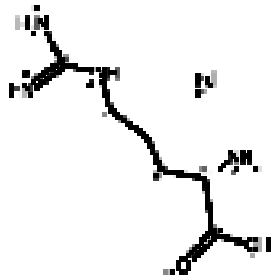 N=C(N)NCCC[C@H](N)C(=O)O.[Pd]